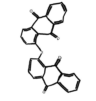 O=C1c2ccccc2C(=O)c2c(Sc3cccc4c3C(=O)c3ccccc3C4=O)cccc21